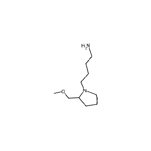 COCC1CCCN1CCCCN